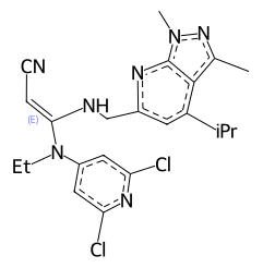 CCN(/C(=C/C#N)NCc1cc(C(C)C)c2c(C)nn(C)c2n1)c1cc(Cl)nc(Cl)c1